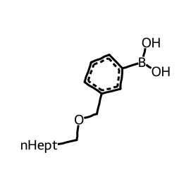 CCCCCCCCOCc1cccc(B(O)O)c1